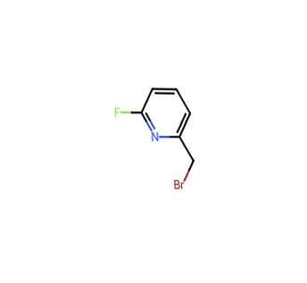 Fc1cccc(CBr)n1